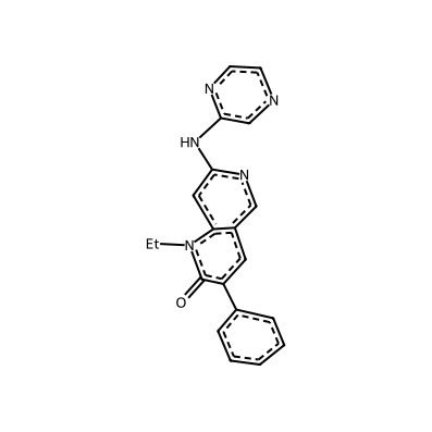 CCn1c(=O)c(-c2ccccc2)cc2cnc(Nc3cnccn3)cc21